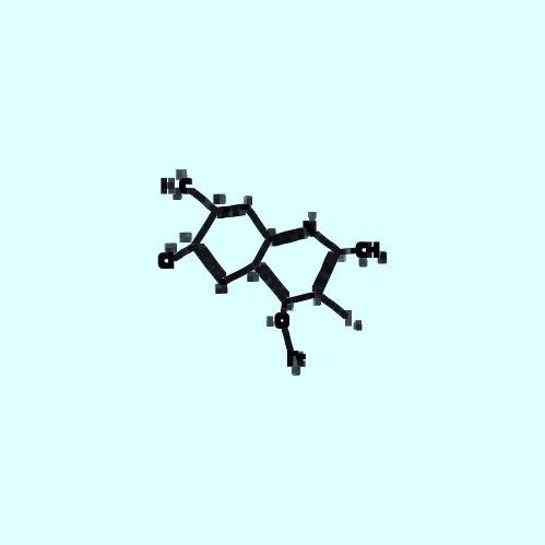 CCOc1c(I)c(C)nc2cc(C)c(Cl)cc12